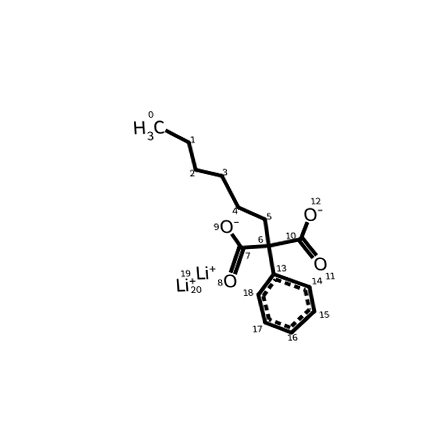 CCCCCCC(C(=O)[O-])(C(=O)[O-])c1ccccc1.[Li+].[Li+]